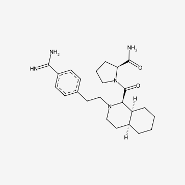 N=C(N)c1ccc(CCN2CC[C@@H]3CCCC[C@@H]3[C@@H]2C(=O)N2CCC[C@H]2C(N)=O)cc1